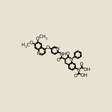 COc1cc2nccc(Oc3ccc(NC(=O)C4Cc5ccc(N(C(=O)O)C(=O)O)cc5N(c5ccccc5)C4=O)nc3)c2cc1OC